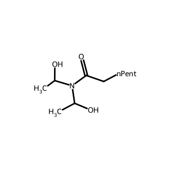 CCCCCCC(=O)N(C(C)O)C(C)O